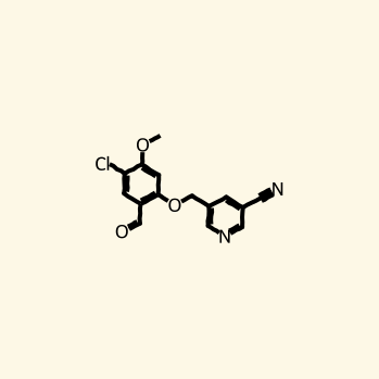 COc1cc(OCc2cncc(C#N)c2)c(C=O)cc1Cl